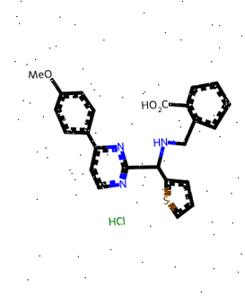 COc1ccc(-c2ccnc(C(NCc3ccccc3C(=O)O)c3cccs3)n2)cc1.Cl